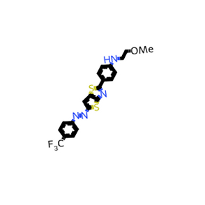 COCCNc1ccc(-c2nc3sc(N=Nc4ccc(C(F)(F)F)cc4)cc3s2)cc1